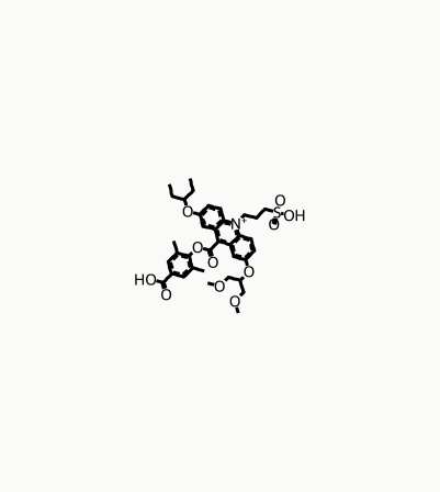 CCC(CC)Oc1ccc2c(c1)c(C(=O)Oc1c(C)cc(C(=O)O)cc1C)c1cc(OC(COC)COC)ccc1[n+]2CCCS(=O)(=O)O